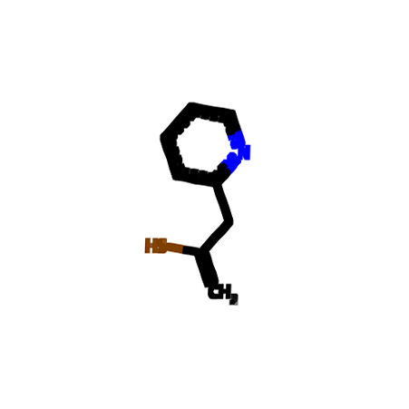 C=C(S)Cc1ccccn1